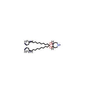 CCCCC/C=C\C/C=C\CCCCCCCCC1(CCCCCCCC/C=C\C/C=C\CCCCC)O[C@H]2CCN(C)CC[C@H]2O1